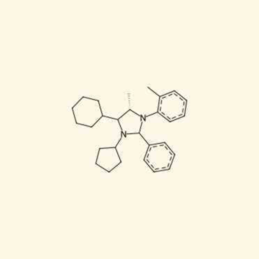 Cc1ccccc1N1C(c2ccccc2)N(C2CCCC2)C(C2CCCCC2)[C@@H]1C